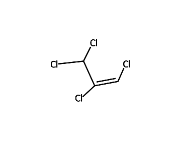 Cl/C=C(/Cl)C(Cl)Cl